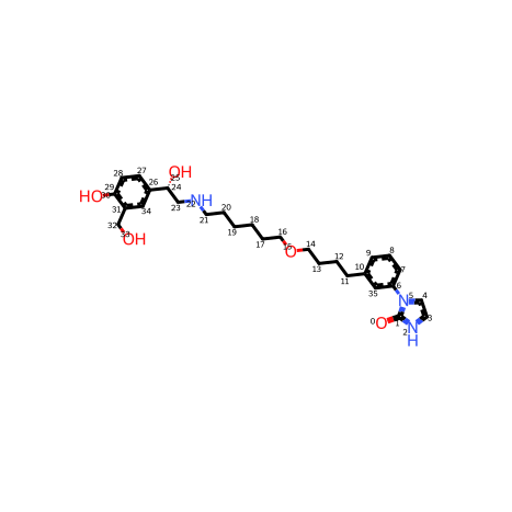 O=c1[nH]ccn1-c1cccc(CCCCOCCCCCCNC[C@@H](O)c2ccc(O)c(CO)c2)c1